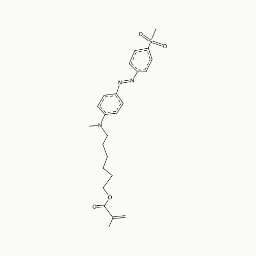 C=C(C)C(=O)OCCCCCCN(C)c1ccc(N=Nc2ccc(S(C)(=O)=O)cc2)cc1